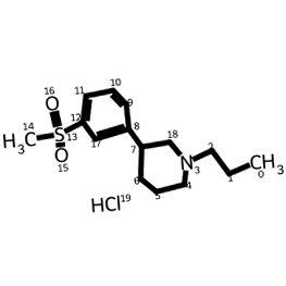 CCCN1CCCC(c2cccc(S(C)(=O)=O)c2)C1.Cl